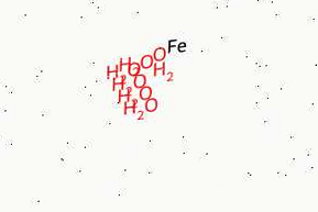 O.O.O.O.O.O.[Fe]